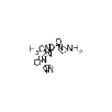 Cc1c(-c2cc3ccccc3n2Cc2cncnc2)nc2cc(C(=O)N3CCCC(N)C3)ccn12